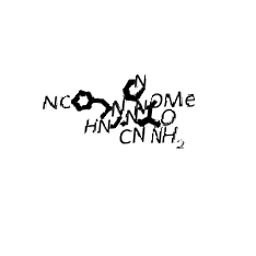 COC1C(C(N)=O)=C(C#N)N(C)N1c1cnccc1N1CCNCC1Cc1ccc(C#N)cc1